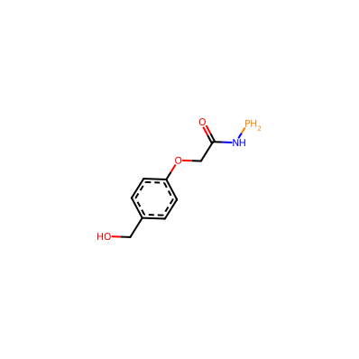 O=C(COc1ccc(CO)cc1)NP